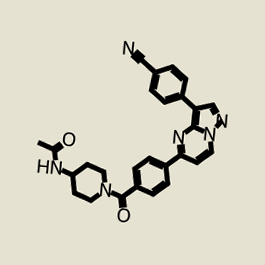 CC(=O)NC1CCN(C(=O)c2ccc(-c3ccn4ncc(-c5ccc(C#N)cc5)c4n3)cc2)CC1